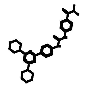 CC(C)C(=O)c1ccc(NC(=O)Nc2ccc(-c3nc(N4CCOCC4)nc(N4CCOCC4)n3)cc2)cc1